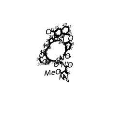 COc1nn(C)cc1C(=O)[N+]#CS1(=O)=NC(=O)c2ccc3c(c2)N(C[C@@H]2CC[C@H]2/C=C/[C@H]2OCCO[C@@H]2[C@H](C)C1)C[C@@]1(CCCc2cc(Cl)ccc21)CO3